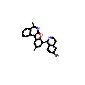 Cc1cc(-c2nccc3cc(C(C)C)ccc23)c2oc3nc(C)c4ccccc4c3c2c1